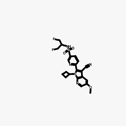 COc1cnc2c(c1)c(C#N)c(-c1ccc(S(=O)(=O)NC(CF)CF)cn1)n2C1CCC1